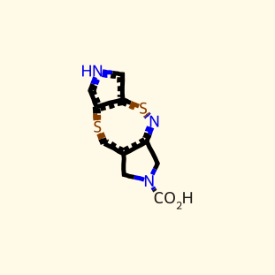 O=C(O)N1Cc2csc3c[nH]cc3snc2C1